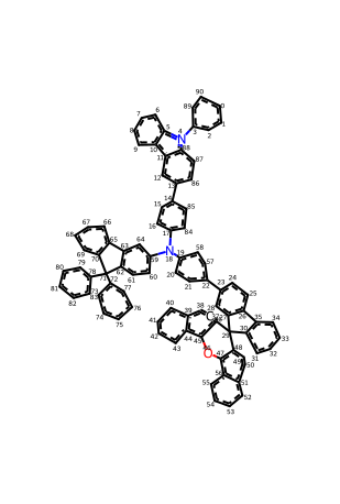 c1ccc(-n2c3ccccc3c3cc(-c4ccc(N(c5ccc(-c6ccc7c(c6)C6(c8ccccc8-7)c7ccc8ccccc8c7Oc7c6ccc6ccccc76)cc5)c5ccc6c(c5)-c5ccccc5C6(c5ccccc5)c5ccccc5)cc4)ccc32)cc1